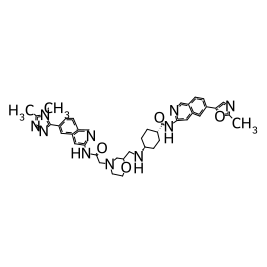 Cc1ncc(-c2ccc3cnc(NC(=O)[C@H]4CC[C@H](NCC5CN(CC(=O)Nc6cc7cc(-c8nnc(C)n8C)ccc7cn6)CCO5)CC4)cc3c2)o1